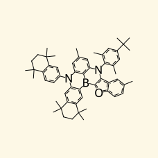 Cc1cc2c3c(c1)N(c1c(C)cc(C(C)(C)C)cc1C)c1c(oc4ccc(C)cc14)B3c1cc3c(cc1N2c1ccc2c(c1)C(C)(C)CCC2(C)C)C(C)(C)CCC3(C)C